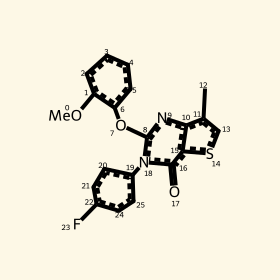 COc1ccccc1Oc1nc2c(C)csc2c(=O)n1-c1ccc(F)cc1